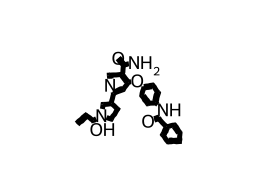 C=CC(O)N1CCC(c2cc(Oc3ccc(NC(=O)c4ccccc4)cc3)c(C(N)=O)cn2)C1